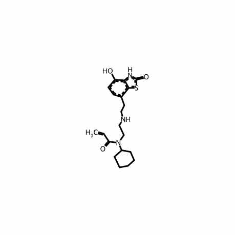 C=CC(=O)N(CCNCCc1ccc(O)c2[nH]c(=O)sc12)C1CCCCC1